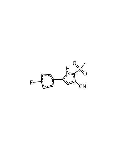 CS(=O)(=O)c1[nH]c(-c2ccc(F)cc2)cc1C#N